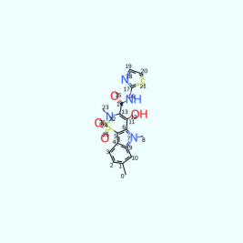 Cc1ccc2c3c(n(C)c2c1)C(O)=C(C(=O)Nc1nccs1)N(C)S3(=O)=O